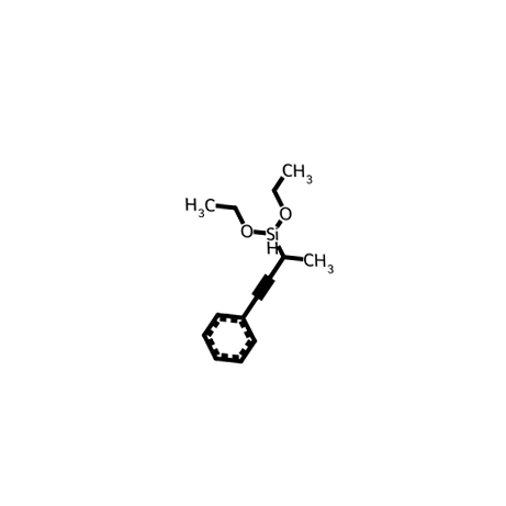 CCO[SiH](OCC)C(C)C#Cc1ccccc1